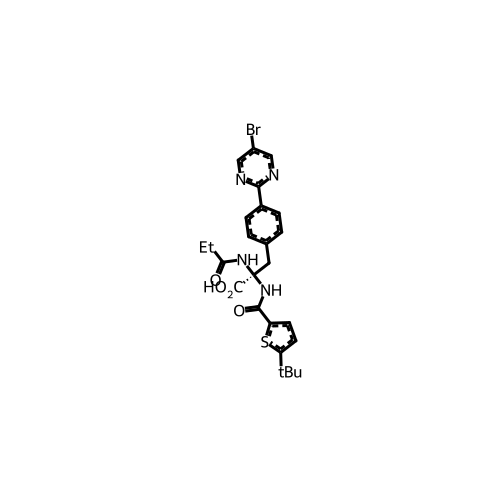 CCC(=O)N[C@@](Cc1ccc(-c2ncc(Br)cn2)cc1)(NC(=O)c1ccc(C(C)(C)C)s1)C(=O)O